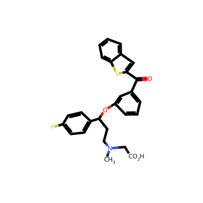 CN(CCC(Oc1cccc(C(=O)c2cc3ccccc3s2)c1)c1ccc(F)cc1)CC(=O)O